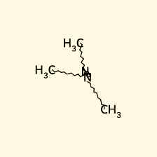 CCCCCCCCCCCN1C=CN(CCCCCCCCC)C1CCCCCCCCCC